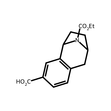 CCOC(=O)N1C2CCC1c1cc(C(=O)O)ccc1C2